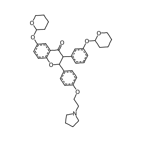 O=C1c2cc(OC3CCCCO3)ccc2OC(c2ccc(OCCN3CCCC3)cc2)C1c1cccc(OC2CCCCO2)c1